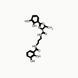 CC1OC(c2cccc(O)c2O)=N[C@@H]1C(=O)NCCCNC(=O)c1cccc(O)c1O